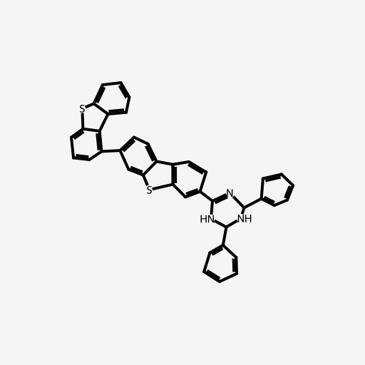 c1ccc(C2N=C(c3ccc4c(c3)sc3cc(-c5cccc6sc7ccccc7c56)ccc34)NC(c3ccccc3)N2)cc1